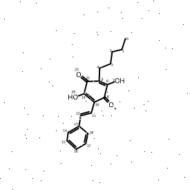 CCCCCC1=C(O)C(=O)C(C=Cc2ccccc2)=C(O)C1=O